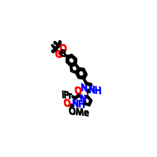 COC(=O)NC(C(=O)N1CCC[C@H]1c1nc(-c2ccc3c(c2)Cc2cc(B4OC(C)(C)C(C)(C)O4)ccc2-3)c[nH]1)C(C)C